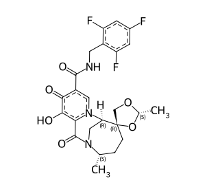 C[C@H]1OC[C@]2(CC[C@H](C)N3C[C@H]2n2cc(C(=O)NCc4c(F)cc(F)cc4F)c(=O)c(O)c2C3=O)O1